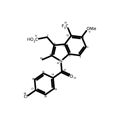 COc1ccc2c(c(CC(=O)O)c(C)n2C(=O)c2ccc(Cl)cc2)c1C(F)(F)F